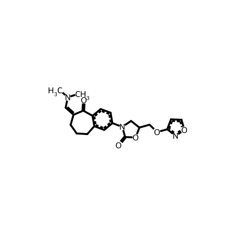 CN(C)C=C1CCCc2cc(N3CC(COc4ccon4)OC3=O)ccc2C1=O